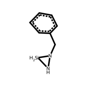 c1ccc(CN2N[SiH2]2)cc1